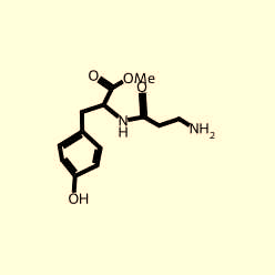 COC(=O)C(Cc1ccc(O)cc1)NC(=O)CCN